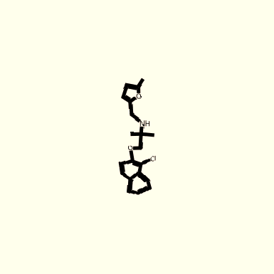 Cc1ccc(CNC(C)(C)COc2ccc3ccccc3c2Cl)o1